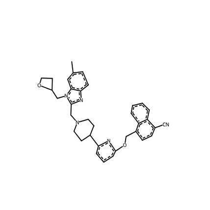 Cc1ccc2nc(CN3CCC(c4cccc(OCc5ccc(C#N)c6ccccc56)n4)CC3)n(CC3CCO3)c2c1